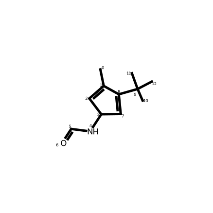 CC1=CC(NC=O)C=C1C(C)(C)C